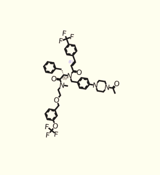 CC(=O)N1CCN(c2ccc(CN(C(=O)/C=C/c3ccc(C(F)(F)F)cc3)[C@@H](Cc3ccccc3)C(=O)N(C)CCOCc3cccc(OC(F)(F)F)c3)cc2)CC1